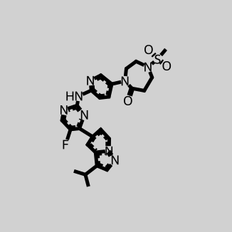 CC(C)c1cnn2ccc(-c3nc(Nc4ccc(N5CCN(S(C)(=O)=O)CCC5=O)cn4)ncc3F)cc12